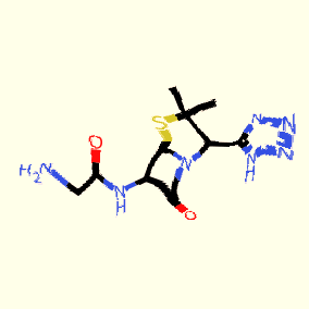 CC1(C)SC2C(NC(=O)CN)C(=O)N2C1c1nnn[nH]1